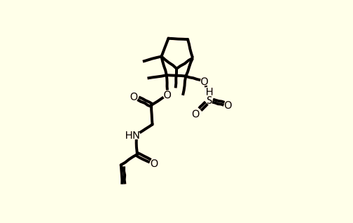 C=CC(=O)NCC(=O)OC1(C)C2(C)CCC(C2C)C1(C)O[SH](=O)=O